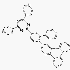 c1ccc(-c2cc(-c3nc(-c4ccncc4)nc(-c4ccncc4)n3)ccc2-c2ccc3c4ccccc4c4ccccc4c3c2)cc1